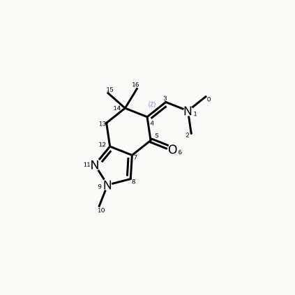 CN(C)/C=C1\C(=O)c2cn(C)nc2CC1(C)C